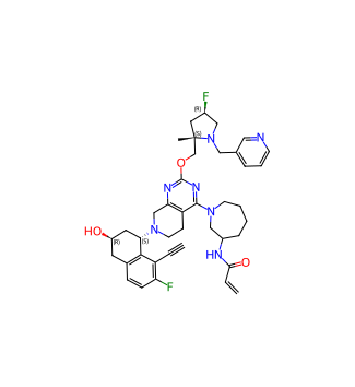 C#Cc1c(F)ccc2c1[C@@H](N1CCc3c(nc(OC[C@]4(C)C[C@@H](F)CN4Cc4cccnc4)nc3N3CCCCC(NC(=O)C=C)C3)C1)C[C@H](O)C2